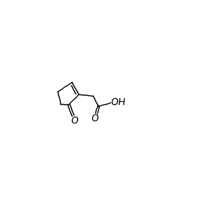 O=C(O)CC1=CCCC1=O